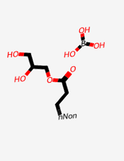 CCCCCCCCCCCC(=O)OCC(O)CO.OB(O)O